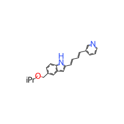 CC(C)OCc1ccc2[nH]c(/C=C/C=C/c3cccnc3)cc2c1